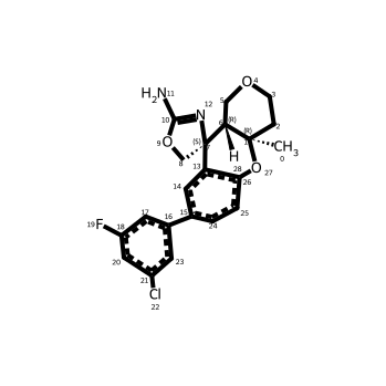 C[C@@]12CCOC[C@H]1[C@@]1(COC(N)=N1)c1cc(-c3cc(F)cc(Cl)c3)ccc1O2